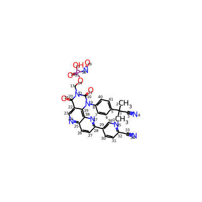 CC(C)(C#N)c1ccc(-n2c(=O)n(COP(=O)(O)N=O)c(=O)c3cnc4ccc(-c5ccc(C#N)nc5)nc4c32)cc1